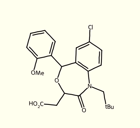 COc1ccccc1C1OC(CC(=O)O)C(=O)N(CC(C)(C)C)c2ccc(Cl)cc21